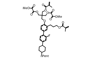 C=C(C)C(=O)OCCCc1cc(-c2ccc(C3CCC(CCCCC)CC3)cc2F)ccc1OCC(COC(=O)C(=C)C)(COC(=O)C(=O)OC)COC(=O)C(=O)OC